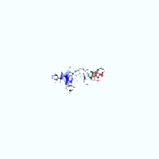 CC(C)(C)C1(C)c2cc(-c3cccc(-c4nc(-c5ccccc5)nc(-c5ccccc5)n4)c3)ccc2-c2cc3c(cc21)oc1ccccc13